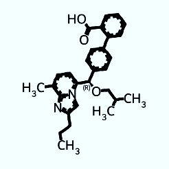 CCCc1cn2c([C@H](OCC(C)C)c3ccc(-c4ccccc4C(=O)O)cc3)ccc(C)c2n1